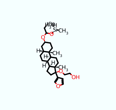 C[SiH](C)OC(CC(C)(C)C)O[C@H]1CC[C@@]2(C)[C@H](CC[C@@H]3[C@@H]2CC[C@@]2(C)[C@H]3CC[C@@]2(OCCO)c2ccoc2)C1